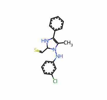 CC1=C(c2ccccc2)NC(C=S)N1Nc1cccc(Cl)c1